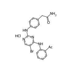 CC(=O)c1ccccc1Nc1nc(Nc2ccc(CC(N)=O)cc2)ncc1Br.Cl